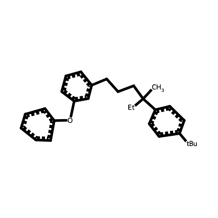 CCC(C)(CCCc1cccc(Oc2ccccc2)c1)c1ccc(C(C)(C)C)cc1